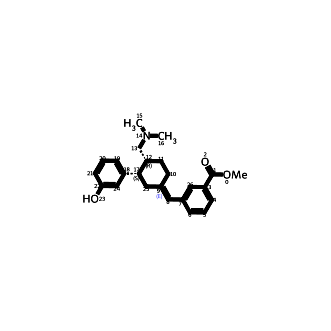 COC(=O)c1cccc(/C=C2\CC[C@@H](CN(C)C)[C@@H](c3cccc(O)c3)C2)c1